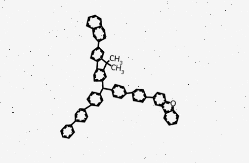 CC1(C)c2cc(-c3ccc4ccccc4c3)ccc2-c2ccc(C(c3ccc(-c4ccc(-c5ccccc5)cc4)cc3)c3ccc(-c4ccc(-c5ccc6oc7ccccc7c6c5)cc4)cc3)cc21